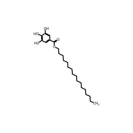 CCCCCCCCCCCCCCCCCOC(=O)c1cc(O)c(O)c(O)c1